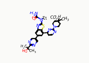 CCN(C(N)=O)c1nc2cc(-c3cnc(C(C)(C)O)nc3)cc(-c3ccnc(N4CCC(C)(C(=O)O)CC4)n3)c2s1